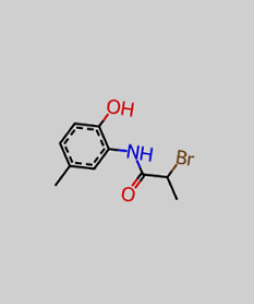 Cc1ccc(O)c(NC(=O)C(C)Br)c1